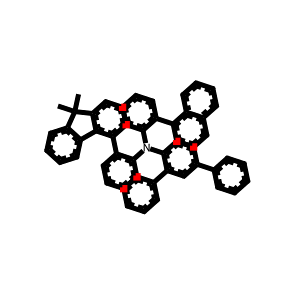 CC1(C)c2ccccc2-c2c(-c3ccccc3N(c3ccc(-c4ccccc4)cc3-c3ccccc3)c3ccccc3-c3cccc4ccccc34)cccc21